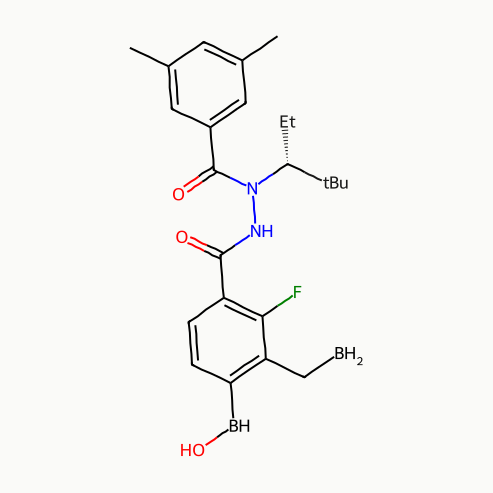 BCc1c(BO)ccc(C(=O)NN(C(=O)c2cc(C)cc(C)c2)[C@H](CC)C(C)(C)C)c1F